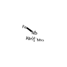 [AlH3].[Fe][Nb].[Mo].[V]